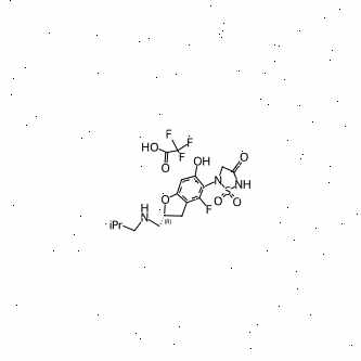 CC(C)CNC[C@H]1Cc2c(cc(O)c(N3CC(=O)NS3(=O)=O)c2F)O1.O=C(O)C(F)(F)F